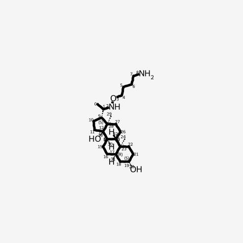 CC(NOCCCCN)[C@H]1CC[C@]2(O)[C@@H]3CC[C@@H]4C[C@@H](O)CC[C@]4(C)[C@H]3CC[C@]12C